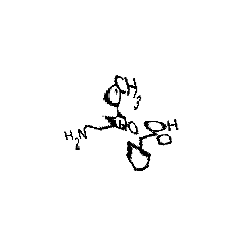 COc1cccc(CCN)c1.O=C(O)C(O)c1ccccc1